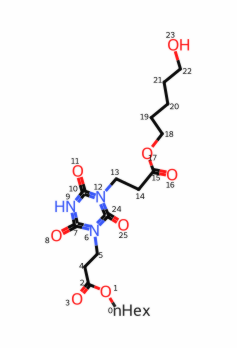 CCCCCCOC(=O)CCn1c(=O)[nH]c(=O)n(CCC(=O)OCCCCCO)c1=O